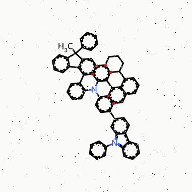 CC1(c2ccccc2)c2ccccc2-c2c(-c3ccccc3N(c3ccc(-c4ccc5c6ccccc6n(-c6ccccc6)c5c4)cc3)c3ccccc3-c3cccc4cccc(C5CCCCC5)c34)cccc21